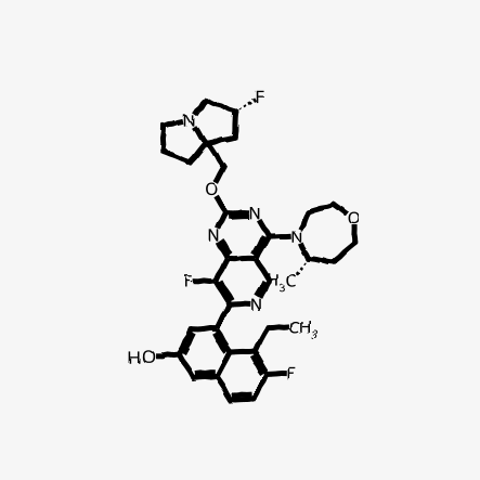 CCc1c(F)ccc2cc(O)cc(-c3ncc4c(N5CCOCC[C@@H]5C)nc(OCC56CCCN5C[C@H](F)C6)nc4c3F)c12